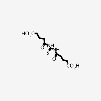 O=C(O)CCCC(=O)NC(=S)NC(=O)CCCC(=O)O